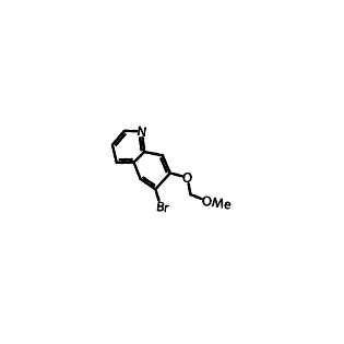 COCOc1cc2ncccc2cc1Br